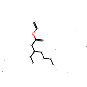 C=COC(=C)CC(CC)CCCC